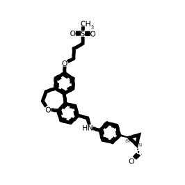 CS(=O)(=O)CCCOc1ccc2c(c1)CCOc1ccc(CNc3ccc([C@H]4C[C@@H]4[C]=O)cc3)cc1-2